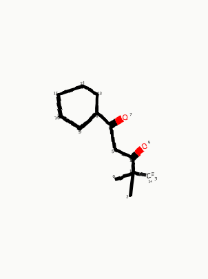 CC(C)(C(=O)CC(=O)C1CCCCC1)C(F)(F)F